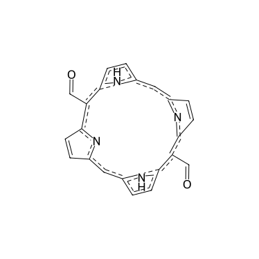 O=Cc1c2nc(cc3ccc([nH]3)c(C=O)c3nc(cc4ccc1[nH]4)C=C3)C=C2